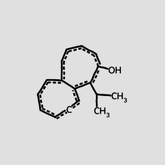 CC(C)c1c(O)ccccc2ccccccc1-2